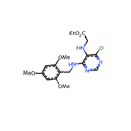 CCOC(=O)CNc1c(Cl)ncnc1NCc1c(OC)cc(OC)cc1OC